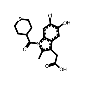 Cc1c(CC(=O)O)c2cc(O)c(Cl)cc2n1C(=O)C1CCSCC1